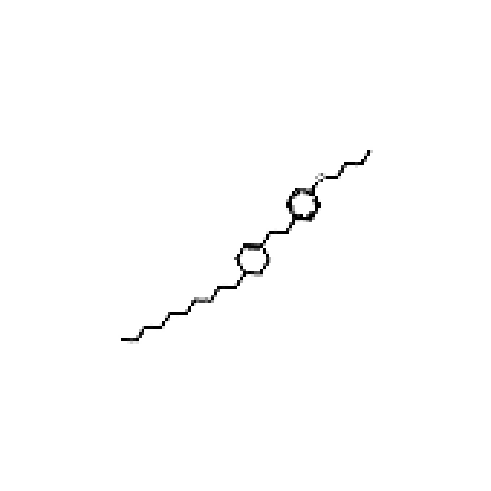 CCCCCCCCCCC1CC=C(CCc2ccc(OCCCC)cc2)CC1